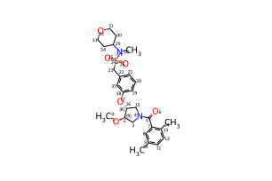 CO[C@@H]1CN(C(=O)c2cc(C)ccc2C)C[C@H]1Oc1cccc(CS(=O)(=O)N(C)C2CCOCC2)c1